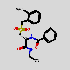 COc1ccccc1CS(=O)(=O)C[C@H](NC(=O)c1ccccc1)C(=O)NCC#N